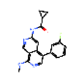 CNc1ncc(-c2cccc(F)c2)c2cc(NC(=O)C3CC3)ncc12